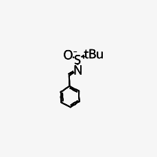 CC(C)(C)[S+]([O-])/N=C/c1ccccc1